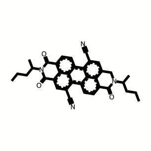 CCCC(C)N1Cc2cc(C#N)c3c4ccc5c6c(cc(C#N)c(c7ccc(c2c73)C1=O)c64)C(=O)N(C(C)CCC)C5=O